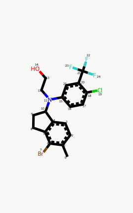 Cc1ccc2c(c1Br)CCC2N(CCO)c1ccc(Cl)c(C(F)(F)F)c1